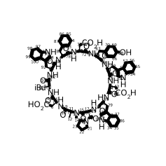 CC[C@H](C)[C@@H]1NC(=O)[C@H](CC(=O)O)NC(=O)[C@H](C)N(C)C(=O)[C@@H](C(=O)N2CCCC2)NC(=O)[C@H](Cc2c[nH]c3ccccc23)NC(=O)[C@H](CC(=O)O)NC(=O)[C@H](Cc2c[nH]c3ccccc23)NC(=O)[C@H](Cc2ccc(O)cc2)NC(=O)[C@H](CC(=O)O)NC(=O)[C@H](Cc2ccccc2)NC(=O)[C@H](Cc2c[nH]c3ccccc23)NC1=O